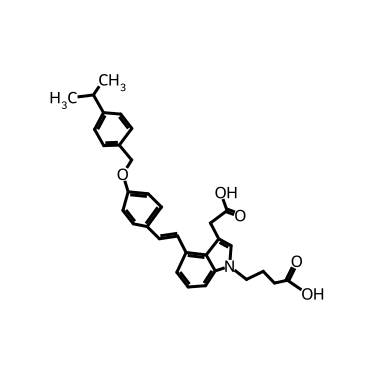 CC(C)c1ccc(COc2ccc(/C=C/c3cccc4c3c(CC(=O)O)cn4CCCC(=O)O)cc2)cc1